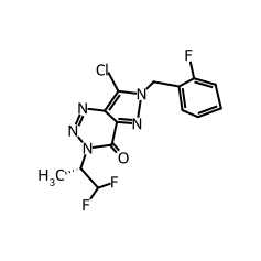 C[C@@H](C(F)F)n1nnc2c(Cl)n(Cc3ccccc3F)nc2c1=O